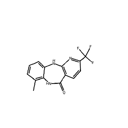 Cc1cccc2c1NC(=O)c1ccc(C(F)(F)F)nc1N2